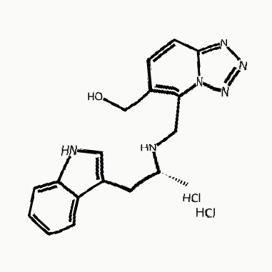 C[C@H](Cc1c[nH]c2ccccc12)NCc1c(CO)ccc2nnnn12.Cl.Cl